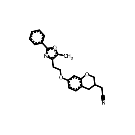 Cc1oc(-c2ccccc2)nc1CCOc1ccc2c(c1)OCC(CC#N)C2